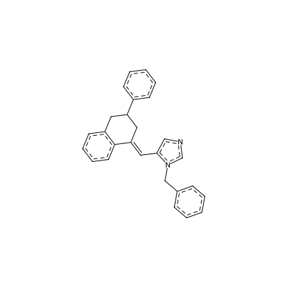 C(=C1/CC(c2ccccc2)Cc2ccccc21)/c1cncn1Cc1ccccc1